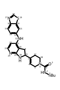 CCCCNC(=O)N1CC=C(C2Cc3c(Nc4ccc5ncsc5c4)ccnc3N2)CC1